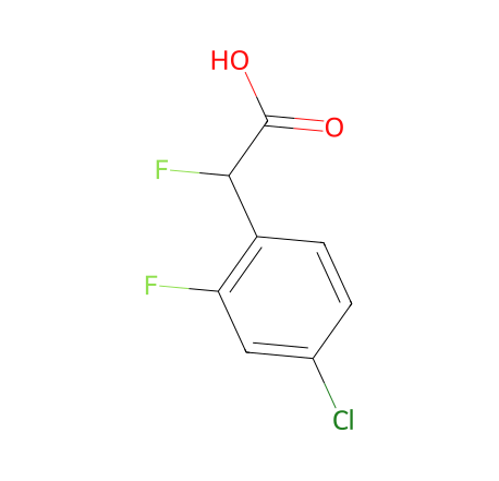 O=C(O)C(F)c1ccc(Cl)cc1F